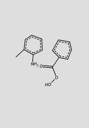 Cc1ccccc1N.O=C(OO)c1ccccc1